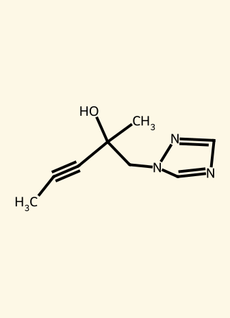 CC#CC(C)(O)Cn1cncn1